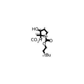 CC(C)(C)CCOC(=O)N1CCC(O)C1(C)C(=O)O